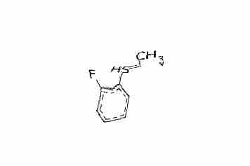 CC=[SH]c1ccccc1F